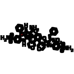 NC(=O)C(CS)Nc1cccc(C2COCCN2C(=O)C(CSc2ccccc2)Nc2ccc(S(N)(=O)=O)cc2[N+](=O)[O-])c1C1COCCN1C(=O)C(CSc1ccccc1)Nc1ccc(S(N)(=O)=O)cc1[N+](=O)[O-]